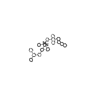 C1=CCC2C(=C1)C(c1cccc3c1ccc1cc4ccccc4cc13)=C1C=CCCC1=C2C1=CCCC(c2nc(-c3ccccc3)c(-c3ccc(C4=CC(C5=CC(C6C=CC=CC6)CC(c6ccccc6)=C5)=CCC4)cc3)c(-c3ccccc3)n2)=C1